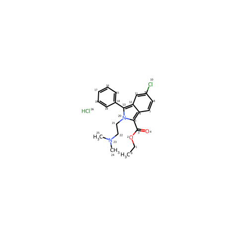 CCOC(=O)c1c2ccc(Cl)cc2c(-c2ccccc2)n1CCN(C)C.Cl